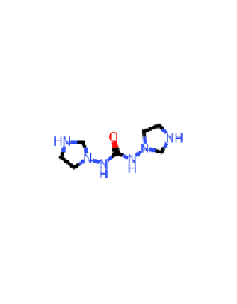 O=C(NN1CCNC1)NN1CCNC1